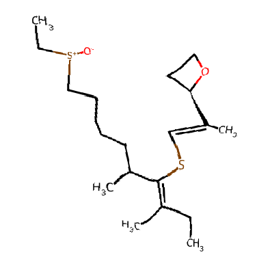 CC/C(C)=C(\S/C=C(\C)[C@H]1CCO1)C(C)CCCC[S+]([O-])CC